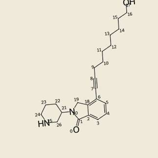 O=C1c2cccc(C#CCCCCCCCCO)c2CN1C1CCCNC1